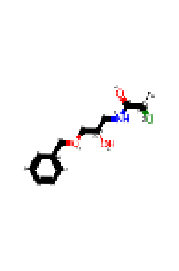 C[C@H](Cl)C(=O)NC[C@H](O)COCc1ccccc1